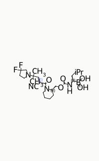 CC(C)C[C@H](NC(=O)OC[C@H]1CCCCN1C(=O)/C(C#N)=C/C(C)(C)N1CCC(F)(F)C1)B(O)O